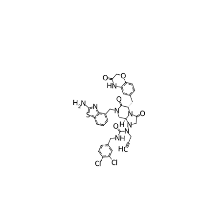 C#CCN(C(=O)NCc1ccc(Cl)c(Cl)c1)N1CC(=O)N2[C@@H](Cc3ccc4c(c3)NC(=O)CO4)C(=O)N(Cc3cccc4sc(N)nc34)C[C@@H]21